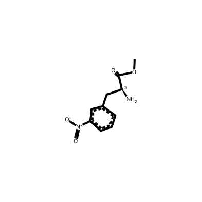 COC(=O)[C@@H](N)Cc1cccc([N+](=O)[O-])c1